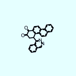 O=C1CC(c2nncc3ccccc23)c2c(ccc3c2ccc2ccccc23)C1=O